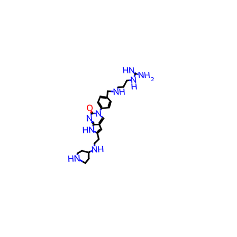 N=C(N)NCCCNCc1ccc(-n2cc3cc(CCNC4CCNCC4)[nH]c3nc2=O)cc1